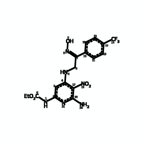 CCOC(=O)Nc1cc(NCC(=NO)c2ccc(C(F)(F)F)cc2)c([N+](=O)[O-])c(N)n1